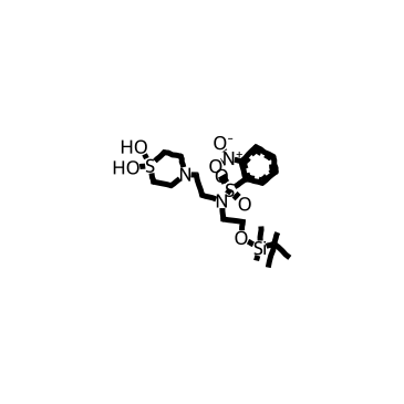 CC(C)(C)[Si](C)(C)OCCN(CCN1CCS(O)(O)CC1)S(=O)(=O)c1ccccc1[N+](=O)[O-]